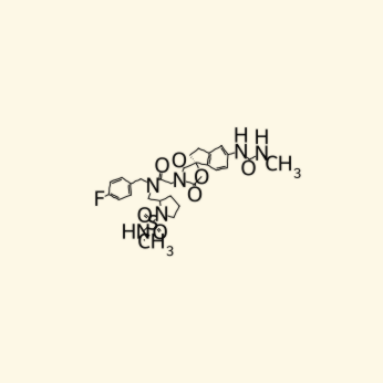 CNC(=O)Nc1ccc2c(c1)CC[C@@]21OC(=O)N(CC(=O)N(Cc2ccc(F)cc2)CC2CCCN2S(=O)(=O)NC)C1=O